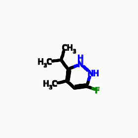 CC1=C(C(C)C)NNC(F)=C1